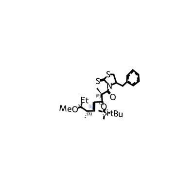 CC[C@H](OC)[C@@H](C)/C=C/[C@H](O[Si](C)(C)C(C)(C)C)[C@@H](C)C(=O)N1C(=S)SCC1Cc1ccccc1